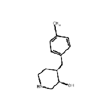 Cc1ccc(C[C@@H]2CCNC[C@@H]2O)cc1